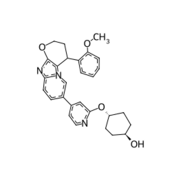 COc1ccccc1C1CCOc2nc3ccc(-c4ccnc(O[C@H]5CC[C@H](O)CC5)c4)cn3c21